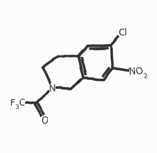 O=C(N1CCc2cc(Cl)c([N+](=O)[O-])cc2C1)C(F)(F)F